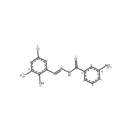 O=C(N/N=C/c1cc(Cl)cc(C(F)(F)F)c1O)c1cccc([N+](=O)[O-])c1